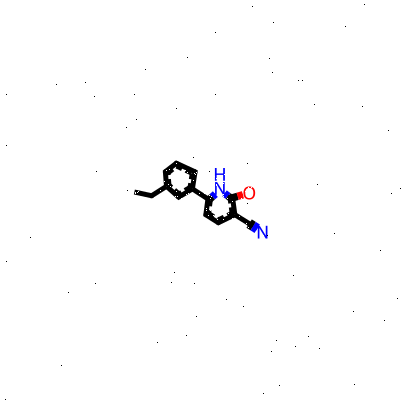 CCc1cccc(-c2ccc(C#N)c(=O)[nH]2)c1